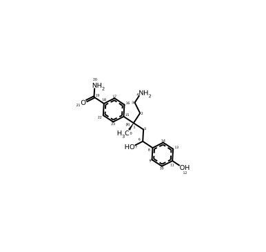 C[C@@](CCN)(CC(O)c1ccc(O)cc1)c1ccc(C(N)=O)cc1